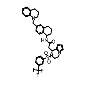 O=C(CC1c2cccn2CCN1S(=O)(=O)c1cccc(C(F)(F)F)c1)NC1CCCc2cc(CN3CCCc4ccccc43)ccc21